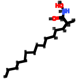 CCCCCCCCCCCCCC(C)C(=O)NO